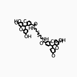 O=C(NCCSSCCNC(=O)c1ccc(C(=O)O)c(-c2c3ccc(=O)cc-3oc3cc(O)ccc23)c1)c1ccc(-c2c3ccc(=O)cc-3oc3cc(O)ccc23)c(C(=O)O)c1